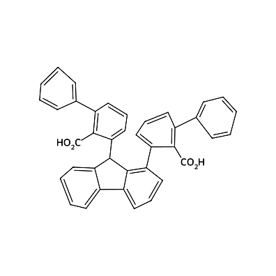 O=C(O)c1c(-c2ccccc2)cccc1-c1cccc2c1C(c1cccc(-c3ccccc3)c1C(=O)O)c1ccccc1-2